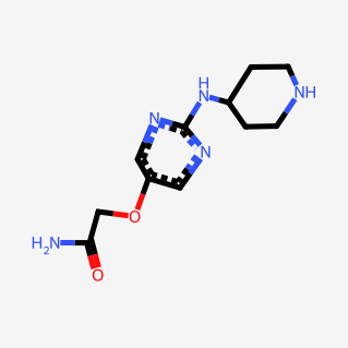 NC(=O)COc1cnc(NC2CCNCC2)nc1